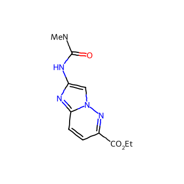 CCOC(=O)c1ccc2nc(NC(=O)NC)cn2n1